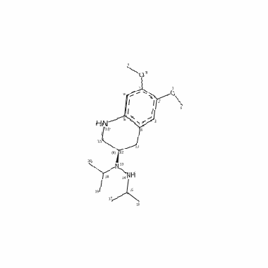 COc1cc2c(cc1OC)NC[C@H](N(NC(C)C)C(C)C)C2